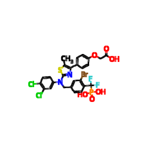 Cc1sc(N(Cc2ccc(C(F)(F)P(=O)(O)O)c(Br)c2)c2ccc(Cl)c(Cl)c2)nc1-c1ccc(OCC(=O)O)cc1